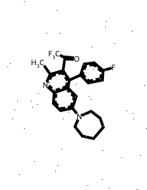 Cc1nc2ccc(N3CCCCCC3)cc2c(-c2ccc(F)cc2)c1C(=O)C(F)(F)F